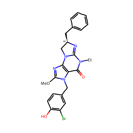 CCN1C(=O)c2c(nc(OC)n2Cc2ccc(O)c(Br)c2)N2C[C@@H](Cc3ccccc3)N=C12